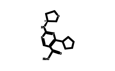 COC(=O)c1cnc(N[C@H]2CCOC2)nc1C1CCCC1